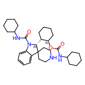 O=C(NC1CCCCC1)O[C@@H]1CCCCC1[C@H]1N(C(=O)NC2CCCCC2)c2ccccc2C12CCNCC2